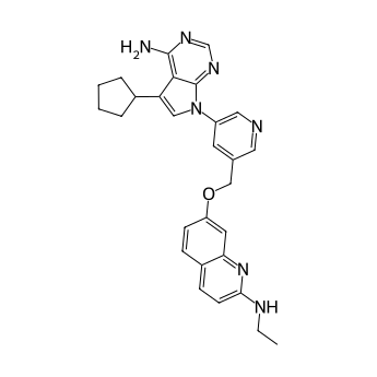 CCNc1ccc2ccc(OCc3cncc(-n4cc(C5CCCC5)c5c(N)ncnc54)c3)cc2n1